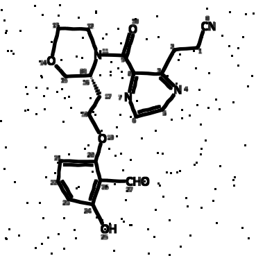 N#CCCc1nccnc1C(=O)N1CCOC[C@H]1CCOc1cccc(O)c1C=O